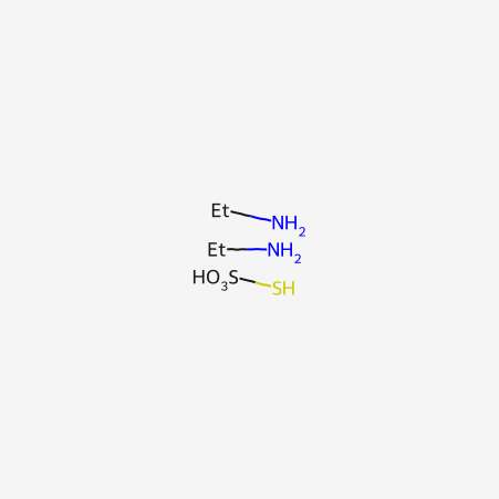 CCN.CCN.O=S(=O)(O)S